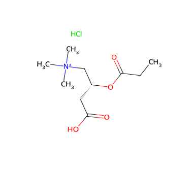 CCC(=O)O[C@H](CC(=O)O)C[N+](C)(C)C.Cl